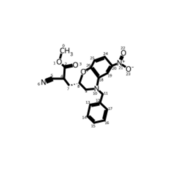 COC(=O)C(C#N)C[C@H]1CN(Cc2ccccc2)c2cc([N+](=O)[O-])ccc2O1